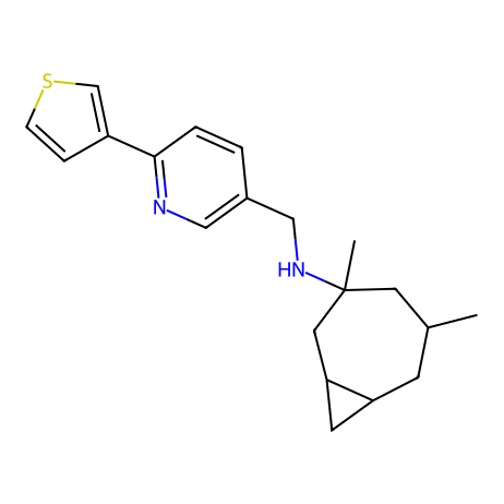 CC1CC2CC2CC(C)(NCc2ccc(-c3ccsc3)nc2)C1